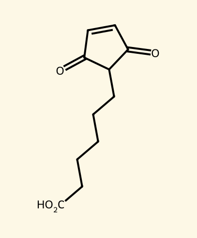 O=C(O)CCCCCC1C(=O)C=CC1=O